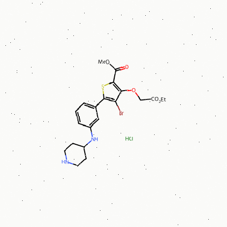 CCOC(=O)COc1c(C(=O)OC)sc(-c2cccc(NC3CCNCC3)c2)c1Br.Cl